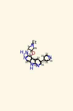 CCN1CC[C@H](Oc2c(N)ncc3[nH]c4ncc(-c5ccncc5)cc4c23)C1